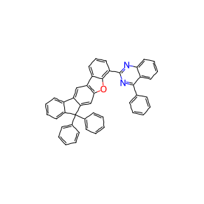 c1ccc(-c2nc(-c3cccc4c3oc3cc5c(cc34)-c3ccccc3C5(c3ccccc3)c3ccccc3)nc3ccccc23)cc1